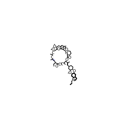 C=CCn1ccc2cc(OC3CCC(C=C(C)C4OC(=O)C5CCCCN5C(=O)C(=O)C5(O)OC(C(OC)CC(C)C/C(C)=C/C(CC)C(=O)CCC4C)C(OC)CC5C)CC3OC)ccc21